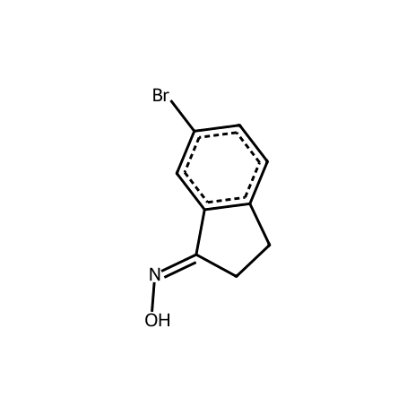 O/N=C1\CCc2ccc(Br)cc21